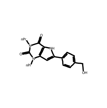 CCCn1c(=O)c2[nH]c(-c3ccc(CO)cc3)cc2n(CCC)c1=O